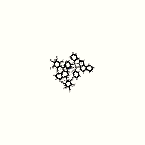 CC1=Cc2c(ccc3ccccc23)[CH]1[Zr]([c]1ccccc1)([c]1ccccc1)[Si](C)(/B=C1\C(C)=C(c2c(F)c(F)c(F)c(F)c2F)c2c1cc(-c1c(F)c(F)c(F)c(F)c1F)c1ccccc21)c1ccccc1